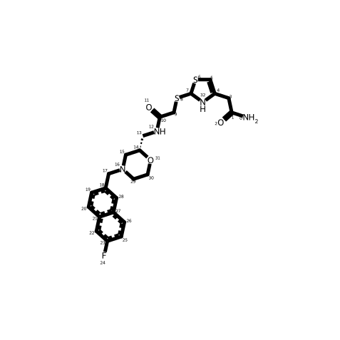 NC(=O)CC1=CSC(SCC(=O)NC[C@H]2CN(Cc3ccc4cc(F)ccc4c3)CCO2)N1